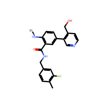 CCNc1ccc(-c2cnccc2CO)cc1C(=O)NCc1ccc(C)c(F)c1